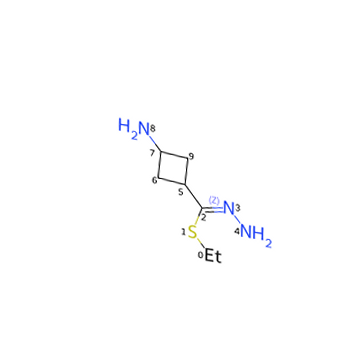 CCS/C(=N\N)C1CC(N)C1